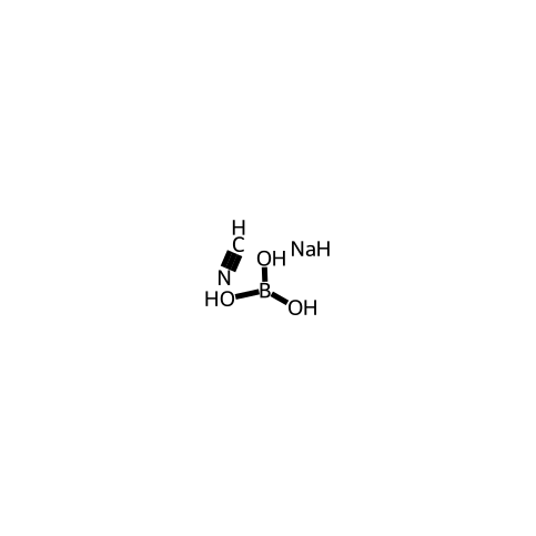 C#N.OB(O)O.[NaH]